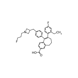 CCc1cc(F)ccc1C1=C(c2ccc(CC3CN(CCCF)C3)cc2)c2ccc(C(=O)O)cc2CCC1